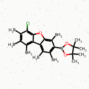 Bc1c(B)c(B)c2c(oc3c(B)c(B4OC(C)(C)C(C)(C)O4)c(B)c(B)c32)c1Cl